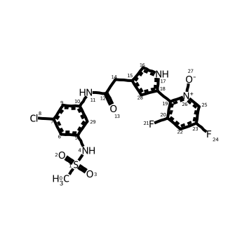 CS(=O)(=O)Nc1cc(Cl)cc(NC(=O)Cc2c[nH]c(-c3c(F)cc(F)c[n+]3[O-])c2)c1